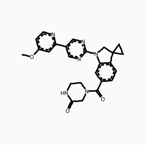 COc1ccnc(-c2cnc(N3CC4(CC4)c4ccc(C(=O)N5CCNC(=O)C5)cc43)nc2)c1